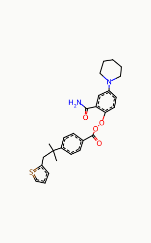 CC(C)(Cc1cccs1)c1ccc(C(=O)OOc2ccc(N3CCCCC3)cc2C(N)=O)cc1